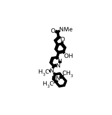 CNC(=O)c1cc2cc(-c3ccc(N(C)C4C[C@]5(C)CCC[C@](C)(C4)N5)nn3)c(O)cc2o1